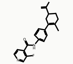 C=C(C)C1CCC(C)=C(c2ccc(NC(=O)c3ccncc3F)cc2)C1